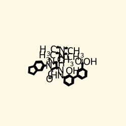 CC1=NN(c2ccc3c(c2)CCC3)C(=C=O)C1=NNc1cccc(-c2cccc(C(=O)O)c2)c1O.CCNCC.CCNCC